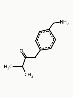 CC(C)C(=O)Cc1ccc(CN)cc1